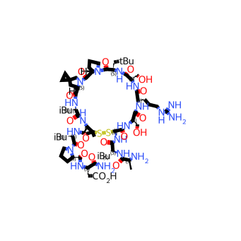 CC[C@H](C)[C@H](NC(=O)[C@H](C)N)C(=O)N[C@H]1SSC(C)(C)[C@@H](C(=O)N[C@H](C(=O)N2CCC[C@H]2C(=O)N[C@@H](CC(=O)O)C(N)=O)[C@@H](C)CC)NC(=O)[C@H]([C@@H](C)CC)NC(=O)[C@@H]2CC3(CC3)CN2C(=O)[C@@H]2CCCN2C(=O)[C@H](CC(C)(C)C)NC(=O)[C@H](CO)NC(=O)[C@H](CCCNC(=N)N)NC(=O)[C@H](CO)NC1=O